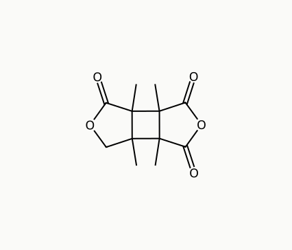 CC12COC(=O)C1(C)C1(C)C(=O)OC(=O)C21C